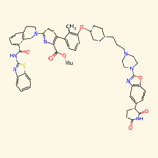 Cc1c(OC2CCC(CCCN3CCN(c4nc5cc(C6CCC(=O)NC6=O)ccc5o4)CC3)CC2)cccc1-c1ccc(N2CCc3cccc(C(=O)Nc4nc5ccccc5s4)c3C2)nc1C(=O)OC(C)(C)C